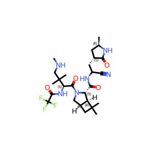 CNCC(C)(C)[C@H](NC(=O)C(F)(F)F)C(=O)N1C[C@@H]2CC(C)(C)[C@@H]2[C@H]1C(=O)NC(C#N)C[C@@H]1C[C@@H](C)NC1=O